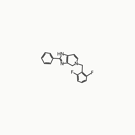 Fc1cccc(F)c1CN1C=Cc2[nH]c(-c3ccccc3)nc2C1